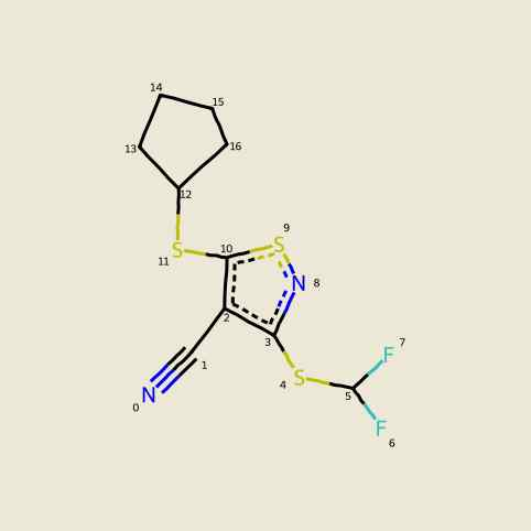 N#Cc1c(SC(F)F)nsc1SC1CCCC1